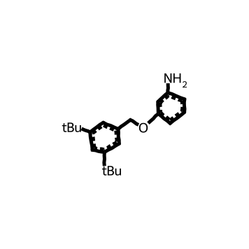 CC(C)(C)c1cc(COc2cccc(N)c2)cc(C(C)(C)C)c1